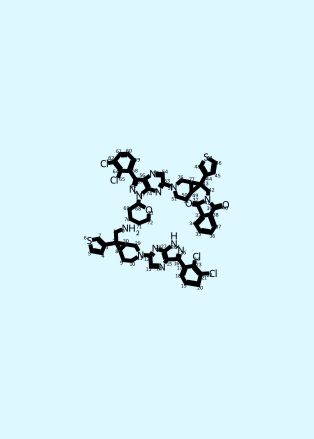 NCC1(c2ccsc2)C2CCN(c3cnc4c(-c5cccc(Cl)c5Cl)n[nH]c4n3)CC21.O=C1c2ccccc2C(=O)N1CC1(c2ccsc2)C2CCN(c3cnc4c(-c5cccc(Cl)c5Cl)nn(C5CCCCO5)c4n3)CC21